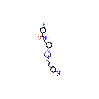 CN(C)c1ccc(/C=C/CN2CCN(c3cccc(CNC(=O)c4ccc(F)cc4)c3)CC2)cc1